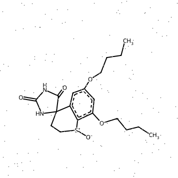 CCCCOc1cc(OCCCC)c2c(c1)C1(CC[S+]2[O-])NC(=O)NC1=O